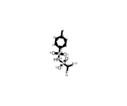 Cc1ccc(S(=O)(=O)NS(=O)(=O)C(F)F)cc1